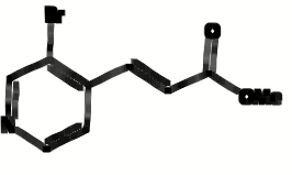 COC(=O)/C=C/c1ccncc1Br